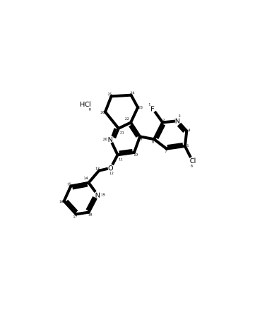 Cl.Fc1ncc(Cl)cc1-c1cc(OCc2ccccn2)nc2c1CCCC2